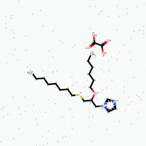 CCCCCCCCSCC(Cn1ccnc1)OCCCCCC.O=C(O)C(=O)O